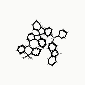 CC1(C)c2ccccc2N(C2=CC=CC3C2c2ccccc2C32C3=CCCCC3c3ccc(N(c4ccc5c6c(sc5c4)C=CCC6)C4C=CC=CC4)cc32)c2ccccc21